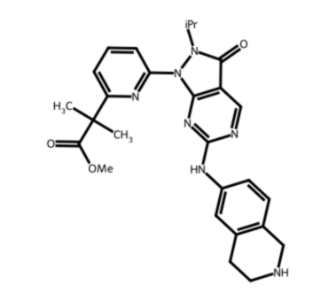 COC(=O)C(C)(C)c1cccc(-n2c3nc(Nc4ccc5c(c4)CCNC5)ncc3c(=O)n2C(C)C)n1